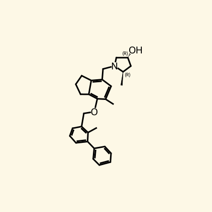 Cc1cc(CN2C[C@H](O)C[C@H]2C)c2c(c1OCc1cccc(-c3ccccc3)c1C)CCC2